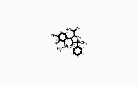 COc1c(C2C(C(=O)O)OC(C)(c3ccccc3)C2C)ccc(F)c1F